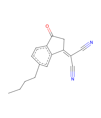 CCCCc1ccc2c(c1)C(=C(C#N)C#N)CC2=O